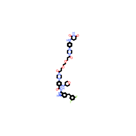 O=C1CCC(Nc2ccc(N3CCN(C(=O)CCOCCOCCC(=O)N4CCN(c5ccc(C(=O)Nc6n[nH]c7ccc(Cc8cc(F)cc(F)c8)cc67)c(NC6CCOCC6)c5)CC4)CC3)cc2)C(=O)N1